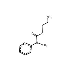 CN(C(=O)OCCN)c1ccccc1